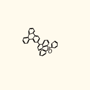 O=P(c1ccccc1)(c1ccccc1)c1cccc2c(-c3ccc4c5ccccc5c5ccccc5c4c3)cccc12